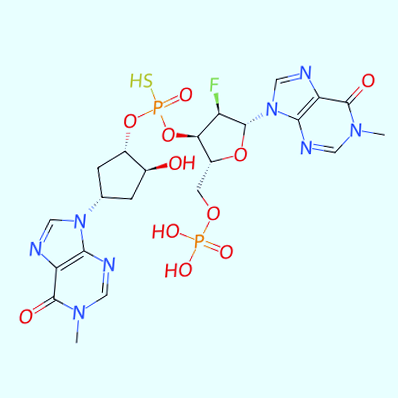 Cn1cnc2c(ncn2[C@@H]2C[C@H](OP(=O)(S)O[C@H]3[C@@H](F)[C@H](n4cnc5c(=O)n(C)cnc54)O[C@@H]3COP(=O)(O)O)[C@@H](O)C2)c1=O